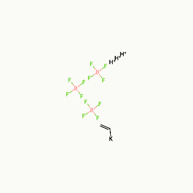 C=[CH][K].F[B-](F)(F)F.F[B-](F)(F)F.F[B-](F)(F)F.[H+].[H+].[H+]